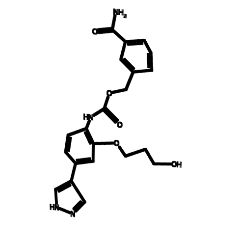 NC(=O)c1cccc(COC(=O)Nc2ccc(-c3cn[nH]c3)cc2OCCCO)c1